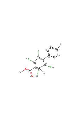 COC(=O)C1=C(F)C(F)=C(c2ccc(C)cc2)C(F)C1(C)F